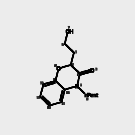 CCCCCN1C(=O)C(CCO)Oc2ccccc21